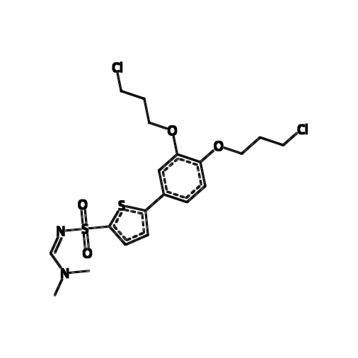 CN(C)/C=N\S(=O)(=O)c1ccc(-c2ccc(OCCCCl)c(OCCCCl)c2)s1